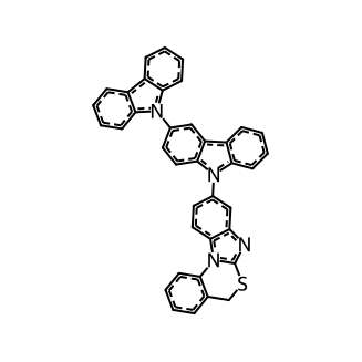 c1ccc2c(c1)CSc1nc3cc(-n4c5ccccc5c5cc(-n6c7ccccc7c7ccccc76)ccc54)ccc3n1-2